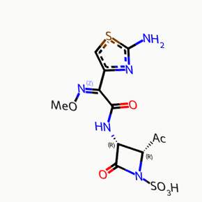 CO/N=C(\C(=O)N[C@H]1C(=O)N(S(=O)(=O)O)[C@H]1C(C)=O)c1csc(N)n1